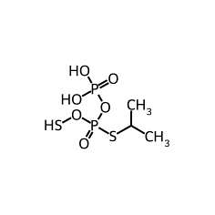 CC(C)SP(=O)(OS)OP(=O)(O)O